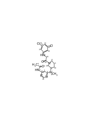 CC(=O)Nc1cc(N(C)C2CCCN(C(=O)CNc3cc(Cl)cc(Cl)c3)C2)ncn1